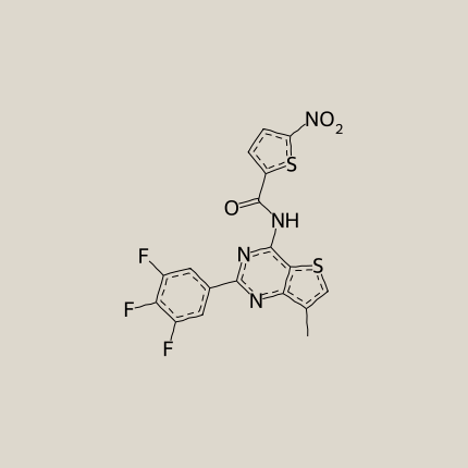 Cc1csc2c(NC(=O)c3ccc([N+](=O)[O-])s3)nc(-c3cc(F)c(F)c(F)c3)nc12